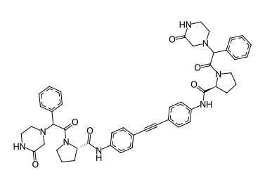 O=C1CN(C(C(=O)N2CCC[C@H]2C(=O)Nc2ccc(C#Cc3ccc(NC(=O)[C@@H]4CCCN4C(=O)C(c4ccccc4)N4CCNC(=O)C4)cc3)cc2)c2ccccc2)CCN1